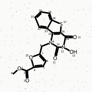 COC(=O)c1ccc(Cn2c(=O)n(O)c(=O)c3sc4ccccc4c32)o1